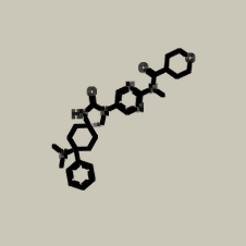 CN(C(=O)C1CCOCC1)c1ncc(N2C[C@]3(CC[C@](c4ccccc4)(N(C)C)CC3)NC2=O)cn1